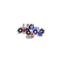 CC(C)(C)OC(=O)N1C[C@H](Nc2ncc(C(F)(F)F)c(-c3cn(S(=O)(=O)c4ccccc4)c4ccccc34)n2)C[C@H](c2nnc3ccccn23)C1